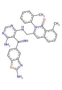 Cc1ccccc1-n1c(CNc2ncnc(N)c2C(=N)c2ccc3sc(N)nc3c2)cc2cccc(C)c2c1=O